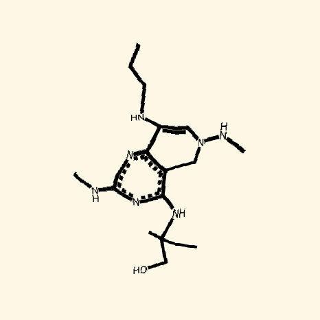 CCCNC1=CN(NC)Cc2c(NC(C)(C)CO)nc(NC)nc21